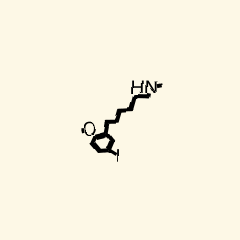 CNCCCCCCc1cc(I)ccc1OC